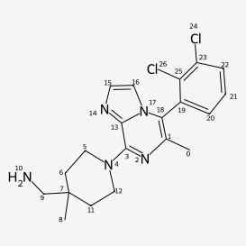 Cc1nc(N2CCC(C)(CN)CC2)c2nccn2c1-c1cccc(Cl)c1Cl